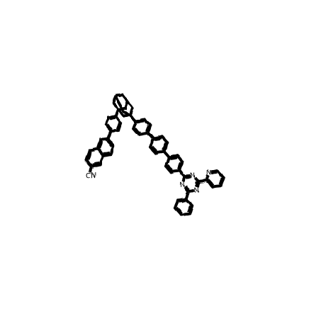 N#Cc1ccc2cc(-c3ccc(C45CC6CC(CC(c7ccc(-c8ccc(-c9ccc(-c%10nc(-c%11ccccc%11)nc(-c%11ccccn%11)n%10)cc9)cc8)cc7)(C6)C4)C5)cc3)ccc2c1